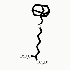 CCOC(=O)C(CCCCCOCC12CC3CC(CC(C3)C1)C2)C(=O)OCC